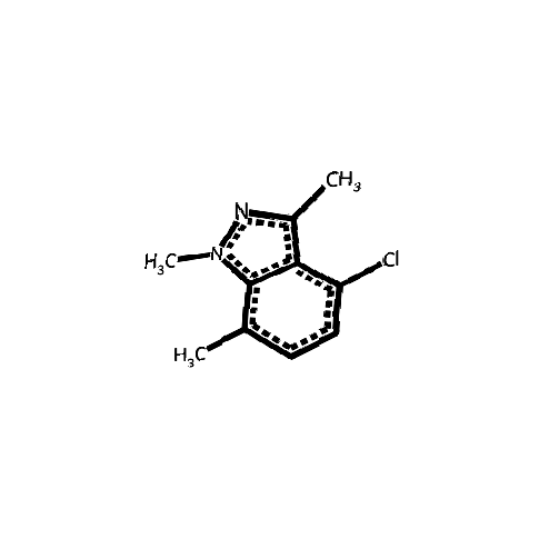 Cc1nn(C)c2c(C)ccc(Cl)c12